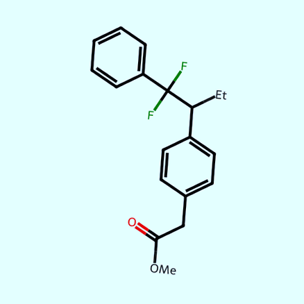 CCC(c1ccc(CC(=O)OC)cc1)C(F)(F)c1ccccc1